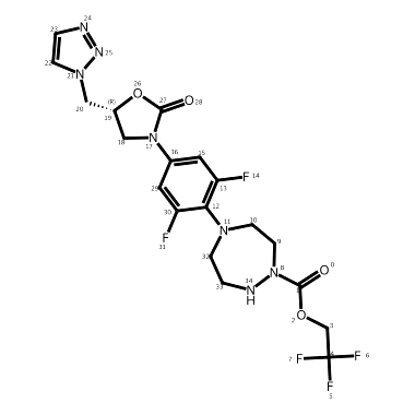 O=C(OCC(F)(F)F)N1CCN(c2c(F)cc(N3C[C@H](Cn4ccnn4)OC3=O)cc2F)CCN1